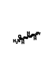 CC(C)NCCNCCNC(N)=O